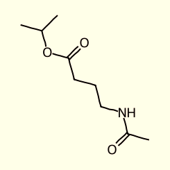 CC(=O)NCCCC(=O)OC(C)C